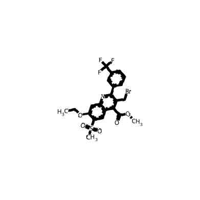 CCOc1cc2nc(-c3cccc(C(F)(F)F)c3)c(CBr)c(C(=O)OC)c2cc1S(C)(=O)=O